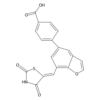 O=C1NC(=O)C(=Cc2cc(-c3ccc(C(=O)O)cc3)cc3ccoc23)S1